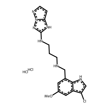 COc1cc(CNCCCNc2nn3nccc3[nH]2)c2[nH]cc(Cl)c2c1.Cl.Cl